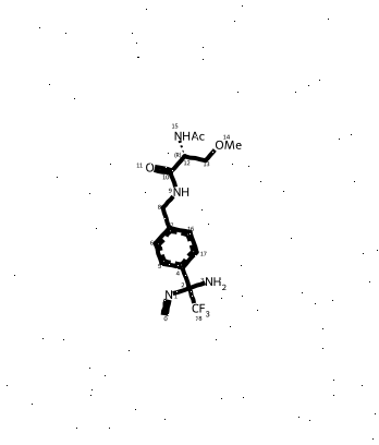 C=NC(N)(c1ccc(CNC(=O)[C@@H](COC)NC(C)=O)cc1)C(F)(F)F